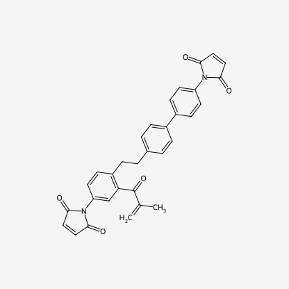 C=C(C)C(=O)c1cc(N2C(=O)C=CC2=O)ccc1CCc1ccc(-c2ccc(N3C(=O)C=CC3=O)cc2)cc1